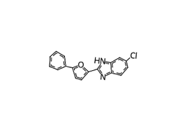 Clc1ccc2nc(-c3ccc(-c4ccccc4)o3)[nH]c2c1